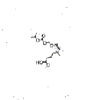 CC(C)OC(=O)OCO/N=N\N(C)CCCC(=O)O